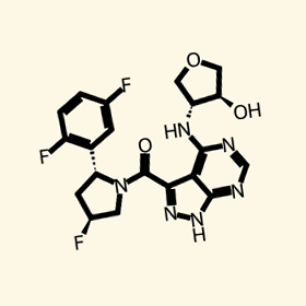 O=C(c1n[nH]c2ncnc(N[C@@H]3COC[C@H]3O)c12)N1C[C@@H](F)C[C@@H]1c1cc(F)ccc1F